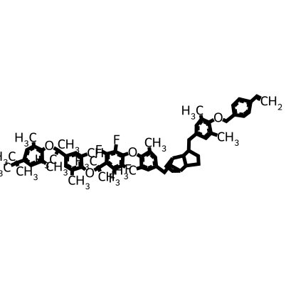 C=Cc1ccc(COc2c(C)cc(CC3CCC4C5CCC(C5Cc5cc(C)c(Oc6c(F)c(F)c(C(C)(C)Oc7c(C)cc(C(C)(C)Oc8c(C)cc(C(C)(C)C)cc8C)cc7C)c(F)c6F)c(C)c5)C34)cc2C)cc1